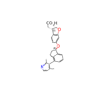 Cc1ccnc(C)c1-c1cccc2c1CC[C@H]2Oc1ccc2c(c1)OC[C@H]2CC(=O)O